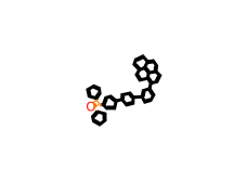 O=P(c1ccccc1)(c1ccccc1)c1ccc(-c2ccc(-c3cccc(-c4ccc5ccc6cccc7ccc4c5c67)c3)cc2)cc1